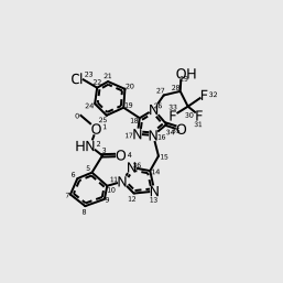 CONC(=O)c1ccccc1-n1cnc(Cn2nc(-c3ccc(Cl)cc3)n(CC(O)C(F)(F)F)c2=O)n1